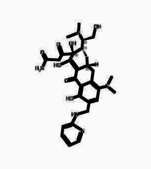 CN(C)c1cc(CNc2ccccn2)c(O)c2c1C[C@H]1C[C@@H]([C@H](CO)N(C)C)[C@@](O)(C(=O)CC(N)=O)C(O)=C1C2=O